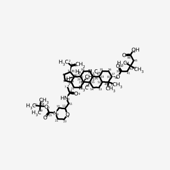 C=C(C)[C@@H]1CC[C@]2(CC(=O)NCC3CN(C(=O)OC(C)(C)C)CCO3)CC[C@]3(C)[C@H](CCC4[C@@]5(C)CC[C@H](OC(=O)CC(C)(C)CC(=O)O)C(C)(C)C5CC[C@]43C)[C@@H]12